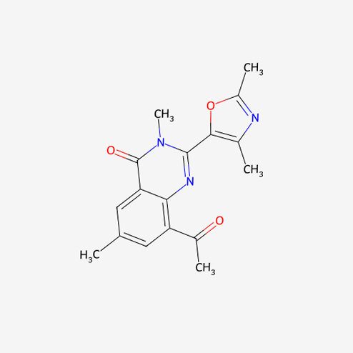 CC(=O)c1cc(C)cc2c(=O)n(C)c(-c3oc(C)nc3C)nc12